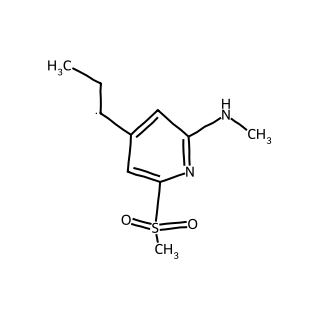 CC[CH]c1cc(NC)nc(S(C)(=O)=O)c1